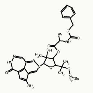 CC(C)C(NC(=O)OCc1ccccc1)C(=O)OC1C(C(C)(C)O[SiH2]C(C)(C)C)OC(n2cc3c(N)cc4c(=O)[nH]ncc(n2)c34)C1(C)O